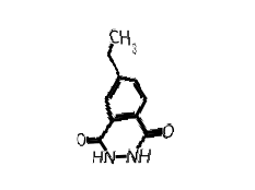 CCc1ccc2c(=O)[nH][nH]c(=O)c2c1